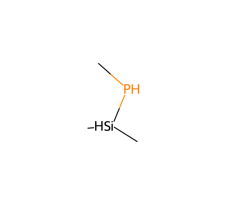 CP[SiH](C)C